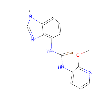 COc1ncccc1NC(=S)Nc1cccc2c1ncn2C